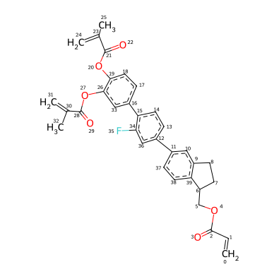 C=CC(=O)OCC1CCc2cc(-c3ccc(-c4ccc(OC(=O)C(=C)C)c(OC(=O)C(=C)C)c4)c(F)c3)ccc21